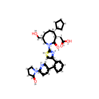 O=C(O)C[C@@H]1C(=O)N(c2nc(-c3ccccc3-c3ccc(N4CCCC4=O)nc3)cs2)C[C@@H](CO)CC[C@@H]1C1CCCC1